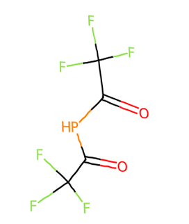 O=C(PC(=O)C(F)(F)F)C(F)(F)F